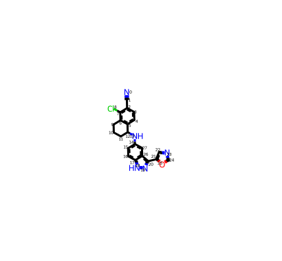 N#Cc1ccc2c(c1Cl)CCCC2Nc1ccc2[nH]nc(-c3cnco3)c2c1